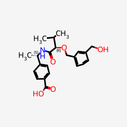 CC(C)[C@@H](OCc1cccc(CO)c1)C(=O)N[C@@H](C)c1ccc(C(=O)O)cc1